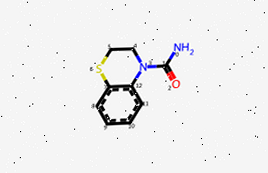 NC(=O)N1CCSc2ccccc21